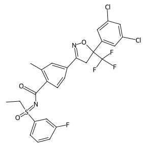 CCS(=O)(=NC(=O)c1ccc(C2=NOC(c3cc(Cl)cc(Cl)c3)(C(F)(F)F)C2)cc1C)c1cccc(F)c1